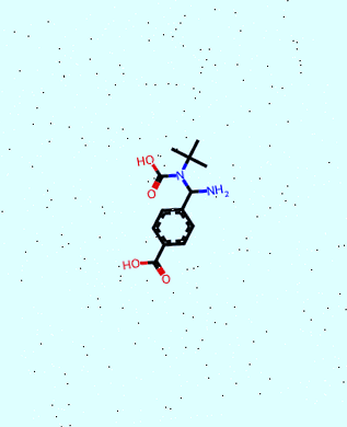 CC(C)(C)N(C(=O)O)C(N)c1ccc(C(=O)O)cc1